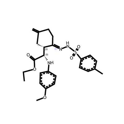 C=C1CC/C(=N\NS(=O)(=O)c2ccc(C)cc2)[C@H]([C@H](Nc2ccc(OC)cc2)C(=O)OCC)C1